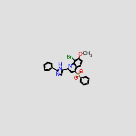 COc1ccc2c(S(=O)(=O)c3ccccc3)cc(-c3cnc(-c4ccccc4)[nH]3)nc2c1Br